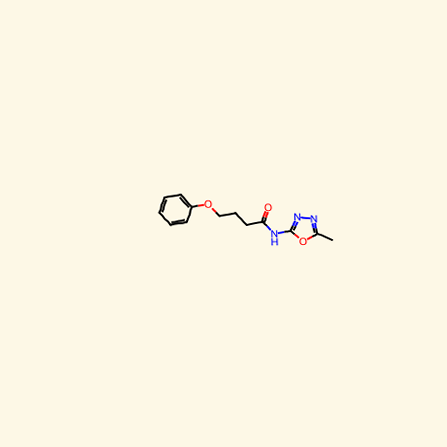 Cc1nnc(NC(=O)CCCOc2ccccc2)o1